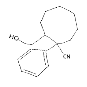 N#CC1(c2ccccc2)CCCCCCC1CO